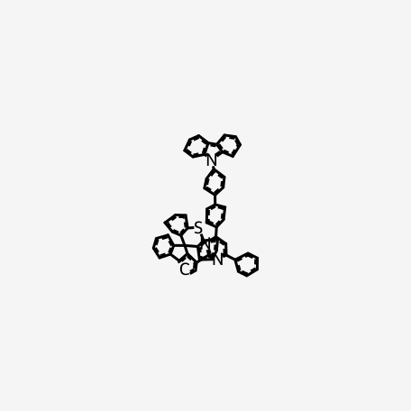 c1ccc(-c2cc(-c3ccc(-c4ccc(-n5c6ccccc6c6ccccc65)cc4)cc3)nc(-c3cccc4c3C3(c5ccccc5Sc5ccccc53)c3ccccc3-4)n2)cc1